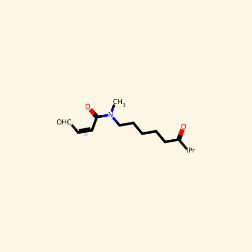 CC(C)C(=O)CCCCCN(C)C(=O)/C=C\C=O